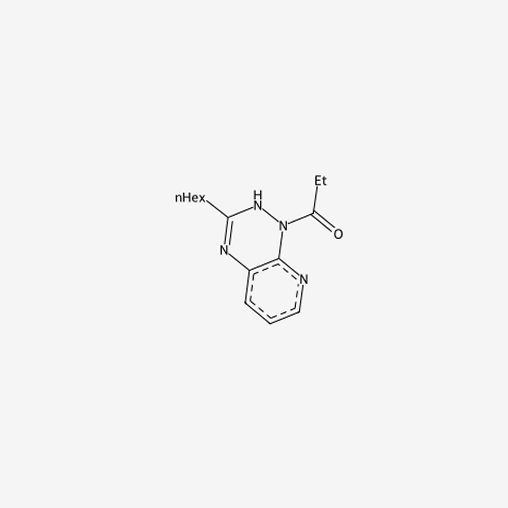 CCCCCCC1=Nc2cccnc2N(C(=O)CC)N1